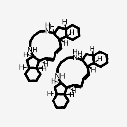 C1=C/[C@H]2[C@@H]3CCCC[C@H]3C[C@H]2NCCCN[C@@H]2C[C@@H]3CCCC[C@H]3[C@@H]2/C=C/1.C1=C/[C@H]2[C@@H]3CCCC[C@H]3C[C@H]2NCCCN[C@@H]2C[C@@H]3CCCC[C@H]3[C@@H]2/C=C/1